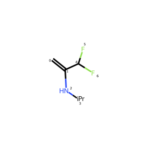 C=C(NC(C)C)C(F)F